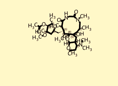 CO[C@]1(C)C[C@H](C[C@H]2[C@H](C)[C@H]3O[C@@H]4O[C@H](C)C[C@H](N(C)C)[C@H]4C[C@@]3(O)C[C@@H](C)CN(C)C(=O)CNC(=O)[C@@H]2C)O[C@@H](C)[C@@H]1OC(C)=O